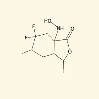 CC1OC(=O)C2(NO)CC(F)(F)C(C)CC12